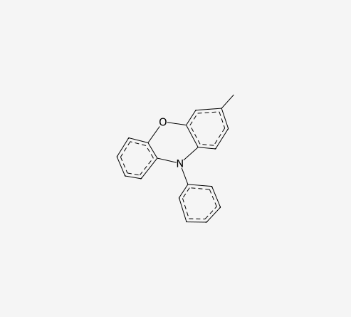 Cc1ccc2c(c1)Oc1ccccc1N2c1ccccc1